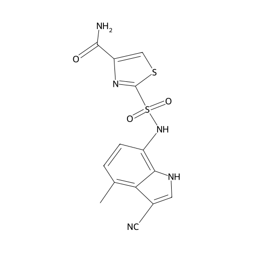 Cc1ccc(NS(=O)(=O)c2nc(C(N)=O)cs2)c2[nH]cc(C#N)c12